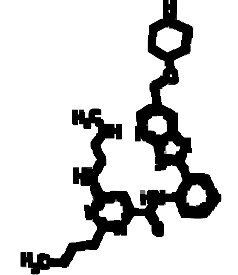 CCCCc1nc(NCCNC)cc(C(=O)Nc2ccccc2-c2nc3cc(COC4CCNCC4)cnc3s2)n1